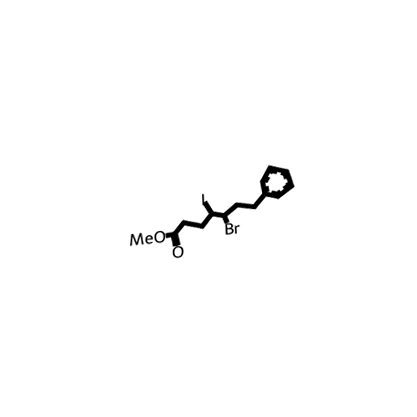 COC(=O)CCC(I)C(Br)CCc1ccccc1